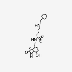 O=c1[nH]c2c(O)ccc(CCNC(CCCCNCCc3ccccc3)=S(=O)=O)c2s1